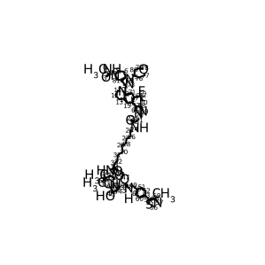 CNC(=O)N1CCc2c(c(N3CCCc4cc(-c5cnn(CC(=O)NCCCCCCCCCC(=O)N[C@H](C(=O)N6C[C@H](O)C[C@H]6C(=O)NCc6ccc(-c7scnc7C)cc6)C(C)(C)C)c5)c(C(F)F)cc43)nn2C2CCOCC2)C1